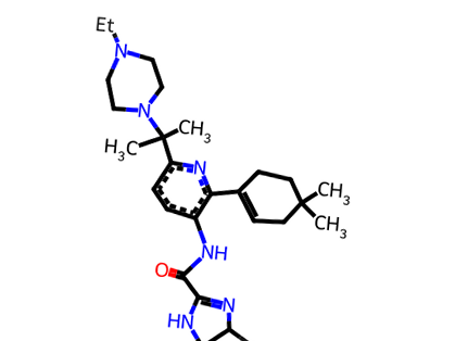 CCN1CCN(C(C)(C)c2ccc(NC(=O)C3=NC(C#N)CN3)c(C3=CCC(C)(C)CC3)n2)CC1